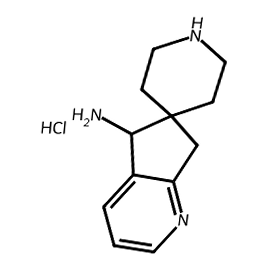 Cl.NC1c2cccnc2CC12CCNCC2